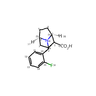 O=C(O)C1CC[C@H]2CC[C@@H]1N2Cc1ccccc1F